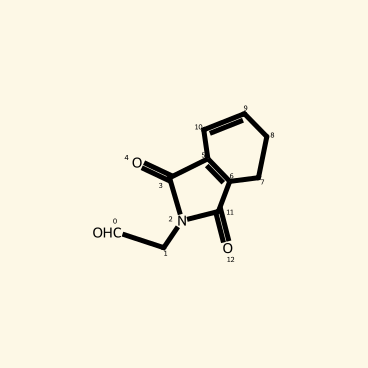 O=CCN1C(=O)C2=C(CCC=C2)C1=O